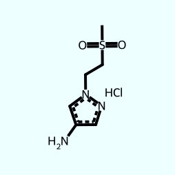 CS(=O)(=O)CCn1cc(N)cn1.Cl